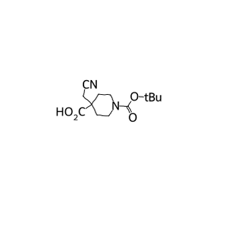 CC(C)(C)OC(=O)N1CCC(CC#N)(C(=O)O)CC1